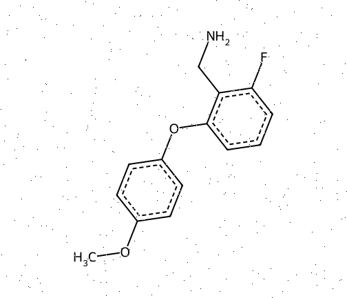 COc1ccc(Oc2cccc(F)c2CN)cc1